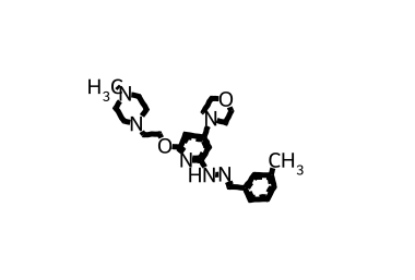 Cc1cccc(C=NNc2cc(N3CCOCC3)cc(OCCN3CCN(C)CC3)n2)c1